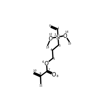 C=C[Si](CCCOC(=O)C(=C)C)(OC)OC